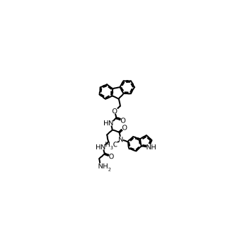 CN(C(=O)C(CCNC(=O)CN)NC(=O)OCC1c2ccccc2-c2ccccc21)c1ccc2[nH]ccc2c1